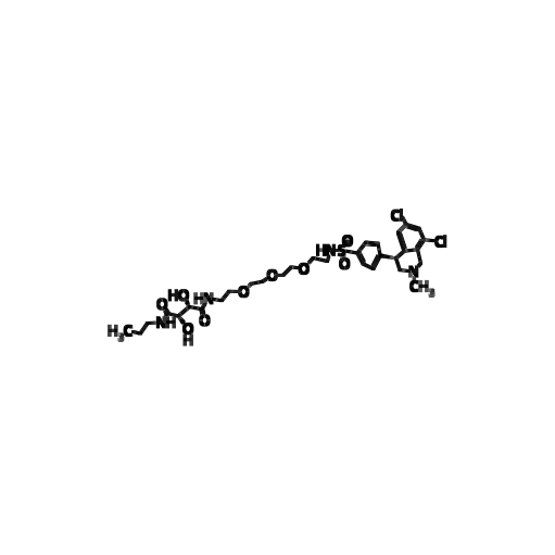 CCCNC(=O)[C@H](O)[C@@H](O)C(=O)NCCOCCOCCOCCNS(=O)(=O)c1ccc([C@@H]2CN(C)Cc3c(Cl)cc(Cl)cc32)cc1